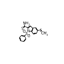 CSc1ccc2c(c1)cc(C(N)=S)n2S(=O)(=O)c1ccccc1